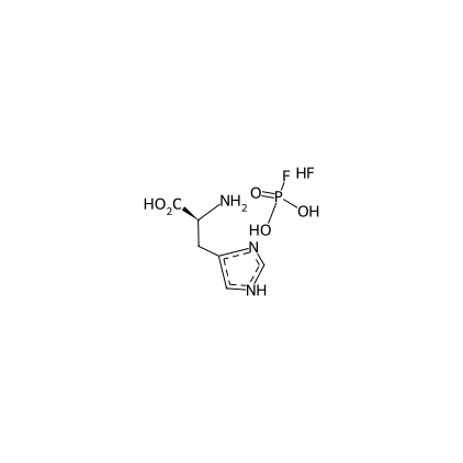 F.N[C@@H](Cc1c[nH]cn1)C(=O)O.O=P(O)(O)F